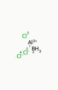 B.[Al+3].[Cl-].[Cl-].[Cl-]